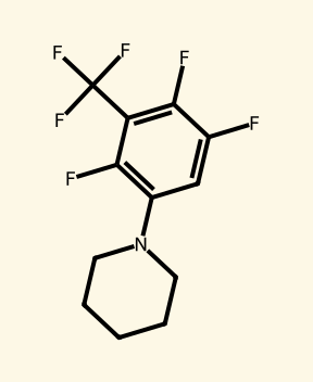 Fc1cc(N2CCCCC2)c(F)c(C(F)(F)F)c1F